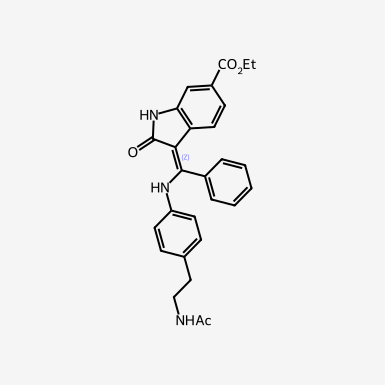 CCOC(=O)c1ccc2c(c1)NC(=O)/C2=C(\Nc1ccc(CCNC(C)=O)cc1)c1ccccc1